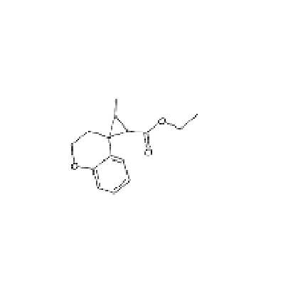 CCOC(=O)C1C(C)C12CCOc1ccccc12